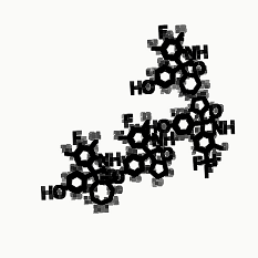 Cc1c(C(F)(F)F)ccc2c1NC(=O)C2(c1ccc(O)cc1)C1CCCC1.Cc1cc2c(c(C)c1F)NC(=O)C2(c1ccc(O)cc1)C1CCCC1.Cc1cc2c(c(C)c1F)NC(=O)C2(c1ccc(O)cc1)C1CCCCC1.Cc1cc2c(c(C)c1F)NC(=O)C2(c1ccc(O)cc1)C1CCCCCC1